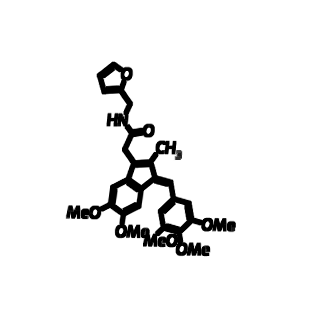 COc1cc2c(cc1OC)/C(=C\c1cc(OC)c(OC)c(OC)c1)C(C)=C2CC(=O)NCc1ccco1